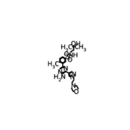 Cc1ccc(S(=O)(=O)NCCC(C)(C)O)cc1-c1cnc(N)c(-c2cnn(CCN3CCOCC3)c2)n1